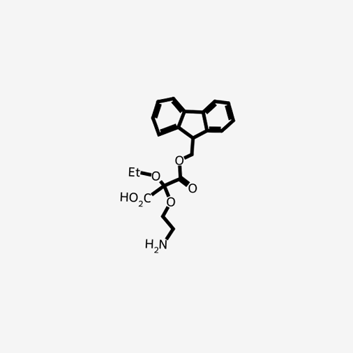 CCOC(OCCN)(C(=O)O)C(=O)OCC1c2ccccc2-c2ccccc21